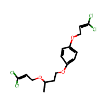 CC(CCOc1ccc(OCC=C(Cl)Cl)cc1)OCC=C(Cl)Cl